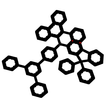 c1ccc(-c2cc(-c3ccccc3)cc(-c3ccc(N(c4ccc5c(c4)C(c4ccccc4)(c4ccccc4)c4ccccc4-5)c4c(-c5ccccc5)c5ccccc5c5ccccc45)cc3)c2)cc1